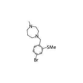 CSc1cc(Br)ccc1CN1CCCN(C)CC1